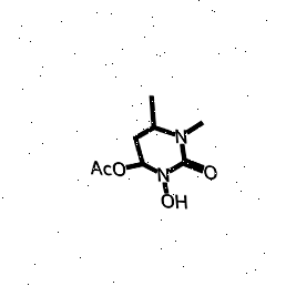 CC(=O)OC1CC(C)N(C)C(=O)N1O